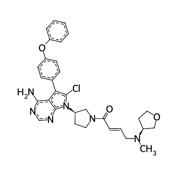 CN(CC=CC(=O)N1CC[C@@H](n2c(Cl)c(-c3ccc(Oc4ccccc4)cc3)c3c(N)ncnc32)C1)[C@H]1CCOC1